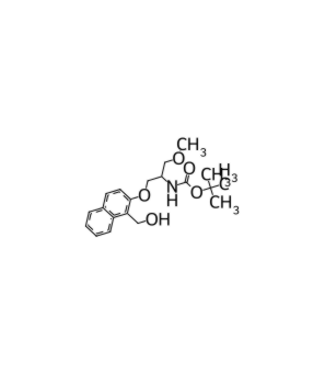 COCC(COc1ccc2ccccc2c1CO)NC(=O)OC(C)(C)C